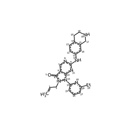 C=CCn1c(=O)c2cnc(Nc3ccc4c(c3)CNCC4)nc2n1-c1cccc(CC)n1